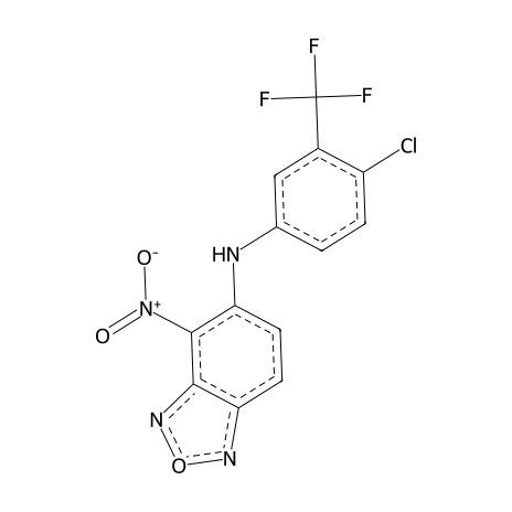 O=[N+]([O-])c1c(Nc2ccc(Cl)c(C(F)(F)F)c2)ccc2nonc12